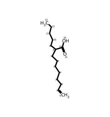 C=CCCCCCCC(CCCCC)C(=O)O